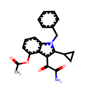 CC(=O)Oc1cccc2c1c(C(=O)C(N)=O)c(C1CC1)n2Cc1ccccc1